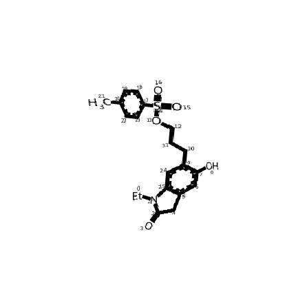 CCN1C(=O)Cc2cc(O)c(CCCOS(=O)(=O)c3ccc(C)cc3)cc21